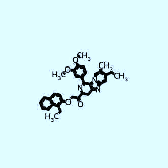 CCc1cc2nc3c(n2cc1C)C(c1ccc(OC)c(OC)c1)=NC(C(=O)COc1ccc2ccccc2c1CC)C3